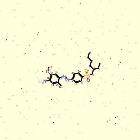 CCCCC(CC)CS(=O)(=O)c1ccc(N=Nc2cc(OC)c(N)cc2C)cc1